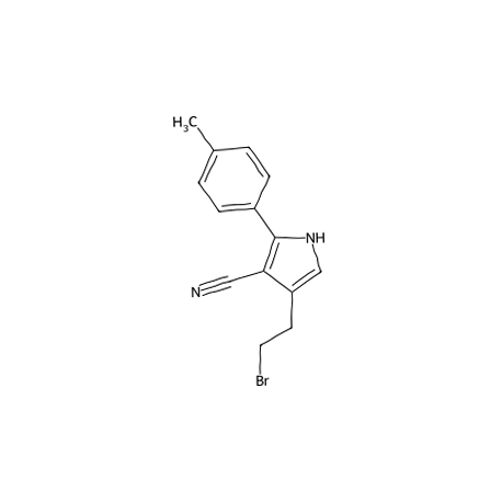 Cc1ccc(-c2[nH]cc(CCBr)c2C#N)cc1